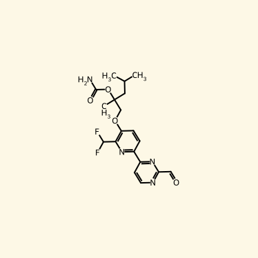 CC(C)CC(C)(COc1ccc(-c2ccnc(C=O)n2)nc1C(F)F)OC(N)=O